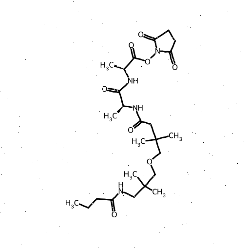 CCCC(=O)NCC(C)(C)COCC(C)(C)CC(=O)N[C@@H](C)C(=O)N[C@@H](C)C(=O)ON1C(=O)CCC1=O